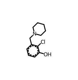 Oc1cccc(CN2CCCCC2)c1Cl